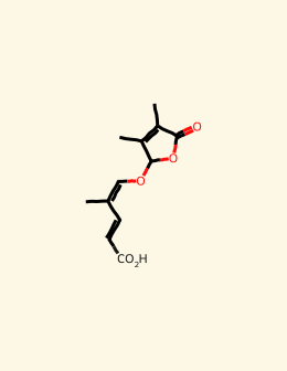 CC(C=CC(=O)O)=COC1OC(=O)C(C)=C1C